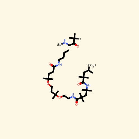 CCC(C)(C)C(=O)[C@H](CCCCNC(=O)CCC(C)(C)OCCC(C)(C)OCCNC(=O)C(C)(C)CC(C)(C)NC(=O)C(C)(C)CC(C)C(=O)O)NC(C)(C)C